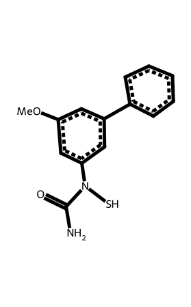 COc1cc(-c2ccccc2)cc(N(S)C(N)=O)c1